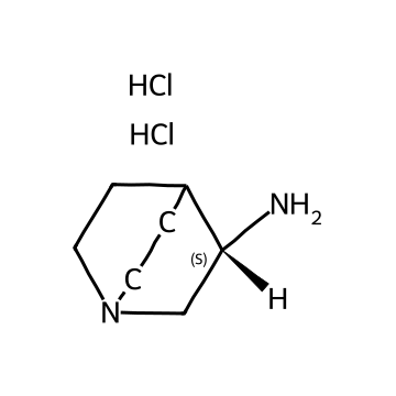 Cl.Cl.N[C@@H]1CN2CCC1CC2